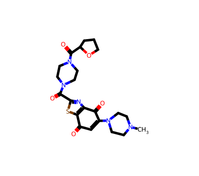 CN1CCN(C2=CC(=O)c3sc(C(=O)N4CCN(C(=O)C5CCCO5)CC4)nc3C2=O)CC1